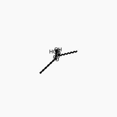 C#CC#CC#CC#CC#CC#CC(=O)OC(COP(=O)(O)O)OC(=O)CCCCCCCCCCCC